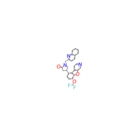 O=C1CC(c2ccc(OC(F)F)c3oc4cnccc4c23)CN1Cc1ccc2ccccc2n1